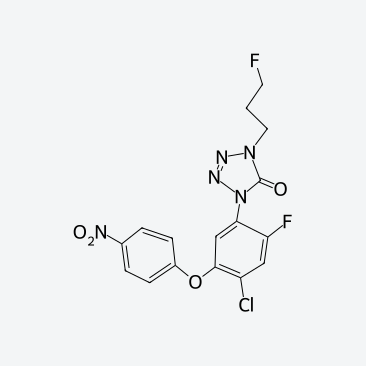 O=c1n(CCCF)nnn1-c1cc(Oc2ccc([N+](=O)[O-])cc2)c(Cl)cc1F